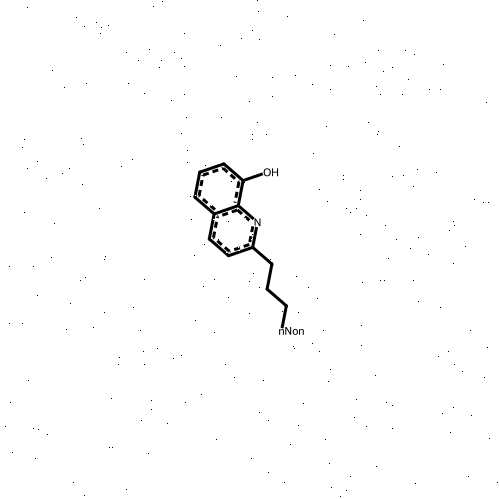 CCCCCCCCCCCCc1ccc2cccc(O)c2n1